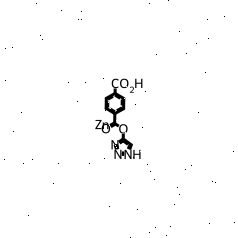 O=C(O)c1ccc(C(=O)Oc2c[nH]nn2)cc1.[Zn]